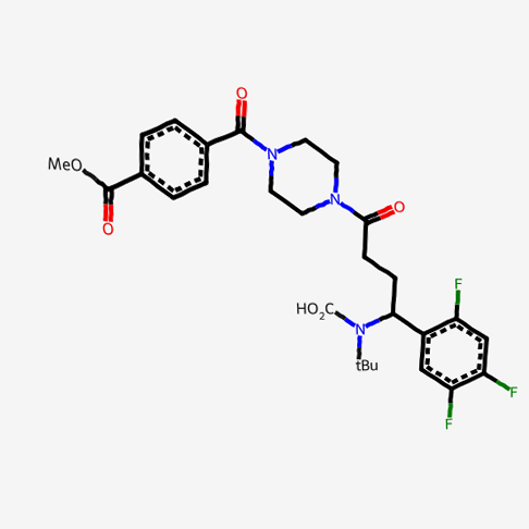 COC(=O)c1ccc(C(=O)N2CCN(C(=O)CCC(c3cc(F)c(F)cc3F)N(C(=O)O)C(C)(C)C)CC2)cc1